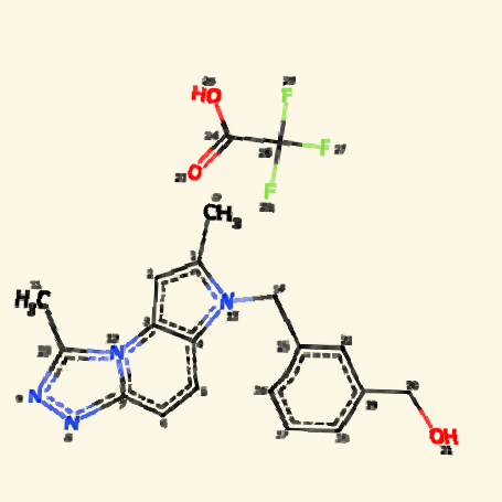 Cc1cc2c(ccc3nnc(C)n32)n1Cc1cccc(CO)c1.O=C(O)C(F)(F)F